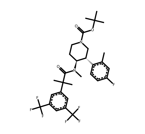 Cc1cc(F)ccc1[C@H]1CN(C(=O)OC(C)(C)C)CC[C@@H]1N(C)C(=O)C(C)(C)c1cc(C(F)(F)F)cc(C(F)(F)F)c1